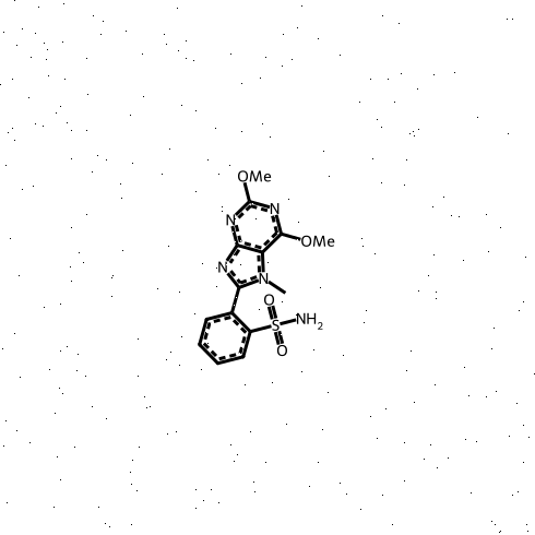 COc1nc(OC)c2c(n1)nc(-c1ccccc1S(N)(=O)=O)n2C